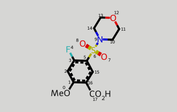 COc1cc(F)c(S(=O)(=O)N2CCOCC2)cc1C(=O)O